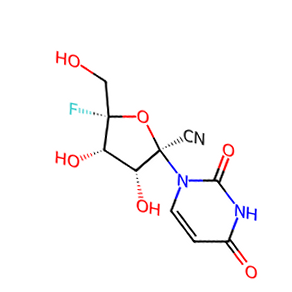 N#C[C@@]1(n2ccc(=O)[nH]c2=O)O[C@](F)(CO)[C@@H](O)[C@H]1O